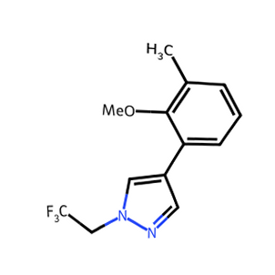 COc1c(C)cccc1-c1cnn(CC(F)(F)F)c1